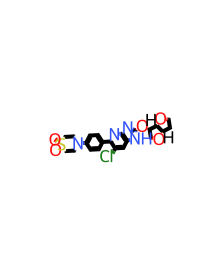 O=S1(=O)CCN(c2ccc(-c3nc4nc(O[C@@H]5CO[C@@H]6CCO[C@@H]65)[nH]c4cc3Cl)cc2)CC1